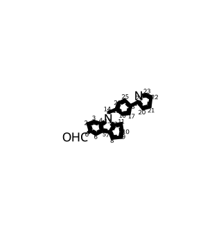 O=Cc1ccc2c(c1)c1ccccc1n2Cc1ccc(-c2ccccn2)cc1